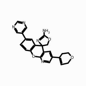 NC1=NC2(CO1)c1cc(-c3cncnc3)ccc1Oc1ncc(C3=CCOCC3)cc12